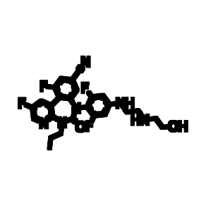 CCCN1C(=O)N(c2c(F)cc(NCCNCCO)cc2F)c2cc(C#N)cc(F)c2-c2cc(F)cnc21